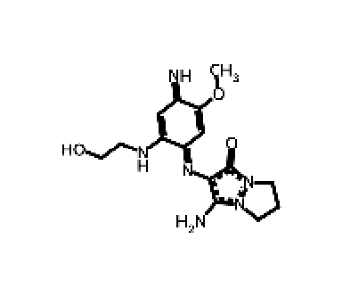 COC1=CC(=Nc2c(N)n3n(c2=O)CCC3)C(NCCO)=CC1=N